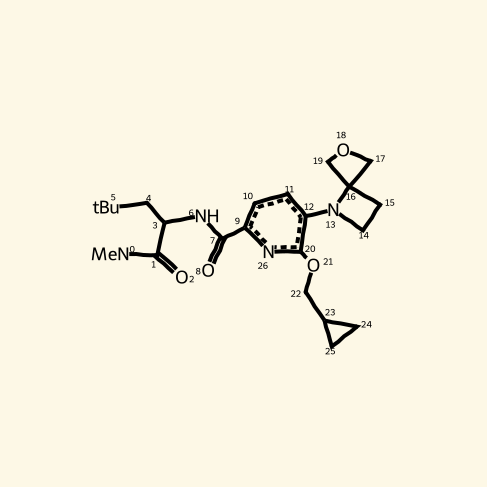 CNC(=O)C(CC(C)(C)C)NC(=O)c1ccc(N2CCC23COC3)c(OCC2CC2)n1